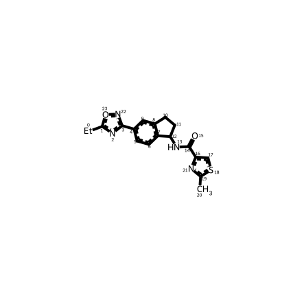 CCc1nc(-c2ccc3c(c2)CCC3NC(=O)c2csc(C)n2)no1